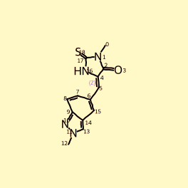 CN1C(=O)/C(=C/c2ccc3nn(C)cc3c2)NC1=S